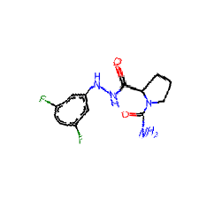 NC(=O)N1CCCC1C(=O)NNc1cc(F)cc(F)c1